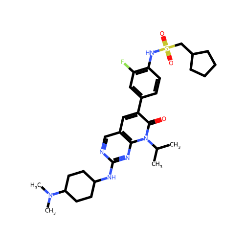 CC(C)n1c(=O)c(-c2ccc(NS(=O)(=O)CC3CCCC3)c(F)c2)cc2cnc(NC3CCC(N(C)C)CC3)nc21